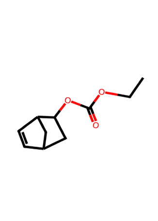 CCOC(=O)OC1CC2C=CC1C2